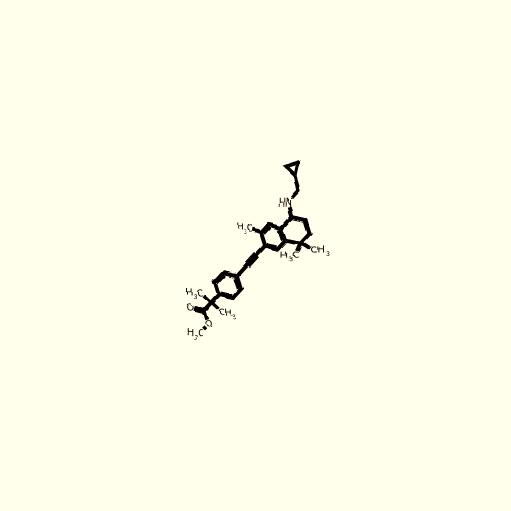 COC(=O)C(C)(C)c1ccc(C#Cc2cc3c(cc2C)C(NCC2CC2)CCC3(C)C)cc1